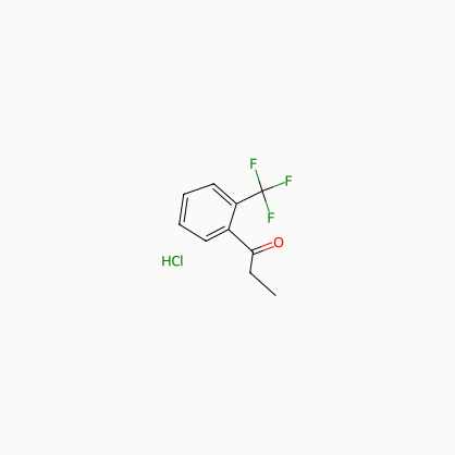 CCC(=O)c1ccccc1C(F)(F)F.Cl